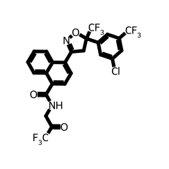 O=C(NCC(=O)C(F)(F)F)c1ccc(C2=NOC(c3cc(Cl)cc(C(F)(F)F)c3)(C(F)(F)F)C2)c2ccccc12